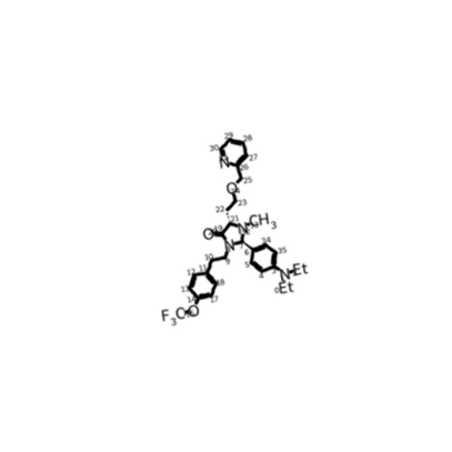 CCN(CC)c1ccc([C@H]2N(CCc3ccc(OC(F)(F)F)cc3)C(=O)[C@H](CCOCc3ccccn3)N2C)cc1